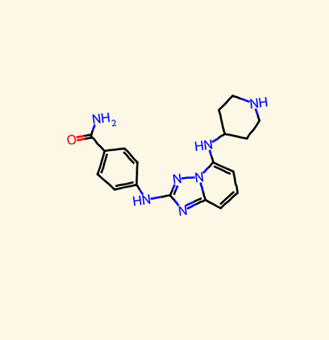 NC(=O)c1ccc(Nc2nc3cccc(NC4CCNCC4)n3n2)cc1